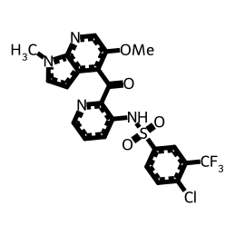 COc1cnc2c(ccn2C)c1C(=O)c1ncccc1NS(=O)(=O)c1ccc(Cl)c(C(F)(F)F)c1